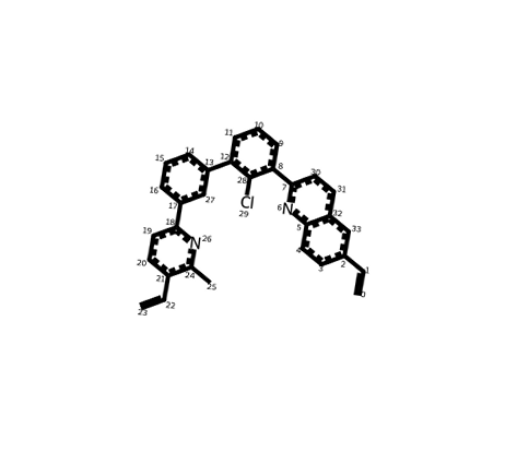 C=Cc1ccc2nc(-c3cccc(-c4cccc(-c5ccc(C=C)c(C)n5)c4)c3Cl)ccc2c1